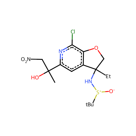 CCC1(N[S+]([O-])C(C)(C)C)COc2c1cc(C(C)(O)C[N+](=O)[O-])nc2Cl